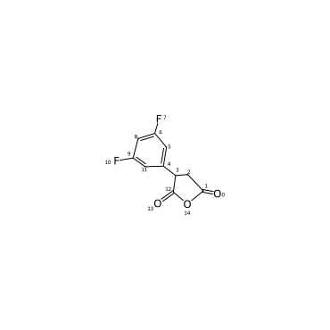 O=C1CC(c2cc(F)cc(F)c2)C(=O)O1